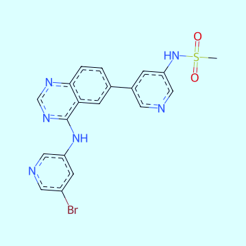 CS(=O)(=O)Nc1cncc(-c2ccc3ncnc(Nc4cncc(Br)c4)c3c2)c1